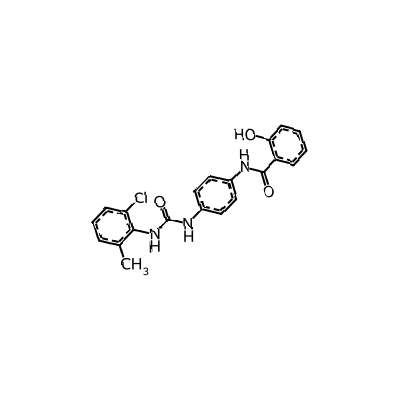 Cc1cccc(Cl)c1NC(=O)Nc1ccc(NC(=O)c2ccccc2O)cc1